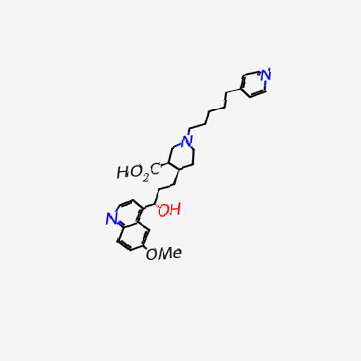 COc1ccc2nccc([C@@H](O)CC[C@@H]3CCN(CCCCCc4ccncc4)C[C@@H]3C(=O)O)c2c1